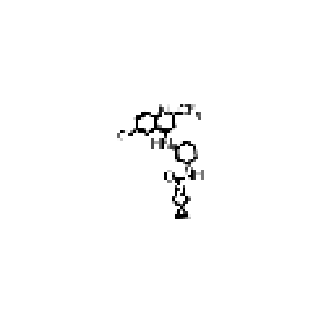 O=C(N[C@@H]1CCC[C@H](Nc2cc(C(F)(F)F)nc3ccc(Cl)cc23)C1)N1CC2(CC2)C1